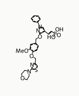 COc1cc(COc2nn(-c3ccccc3)cc2C=CP(=O)(O)O)ccc1OCc1csc(N2CCOCC2)n1